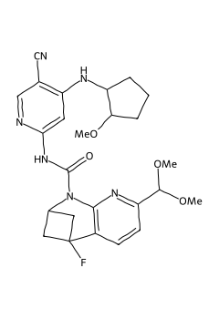 COC(OC)c1ccc2c(n1)N(C(=O)Nc1cc(NC3CCCC3OC)c(C#N)cn1)C1CC2(F)C1